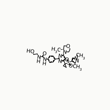 Cc1nn(C)cc1S(=O)(=O)C1(c2cc(N3CCOC[C@@H]3C)nc(-c3ccc(NC(=O)NCCO)cc3)n2)CC1